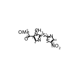 COC(=O)c1cnc(Sc2ncc([N+](=O)[O-])s2)n1C